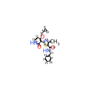 Cc1nc(-c2c(OCC3CC3)cc[nH]c2=O)sc1C(=O)NCc1ccccc1